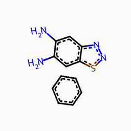 Nc1cc2nnsc2cc1N.c1ccccc1